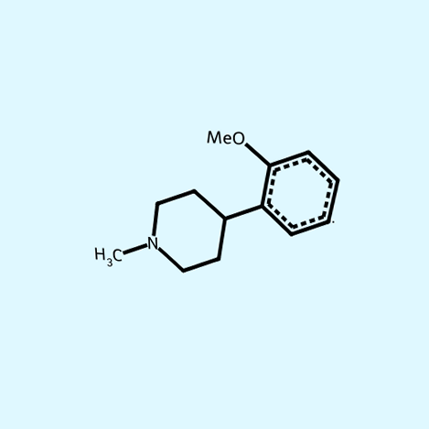 COc1cc[c]cc1C1CCN(C)CC1